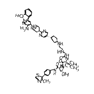 Cc1ncsc1-c1ccc(CNC(=O)[C@@H]2C[C@@H](O)CN2C(=O)[C@@H](NC(=O)CNCCN[C@H]2CC[C@@H](c3cnc(C4CC5CN(c6cc(-c7ccccc7O)nnc6N)CC(C4)N5)nc3)CC2)C(C)(C)C)cc1